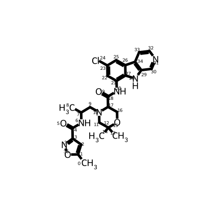 Cc1cc(C(=O)NC(C)CN2CC(C)(C)OCC2C(=O)Nc2cc(Cl)cc3c2[nH]c2cnccc23)no1